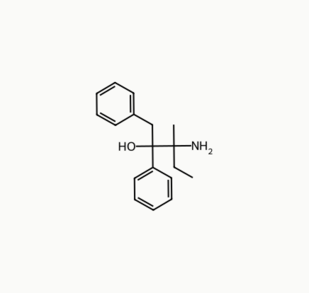 CCC(C)(N)C(O)(Cc1ccccc1)c1ccccc1